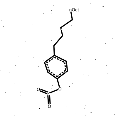 CCCCCCCCCCCCc1ccc(OP(=O)=O)cc1